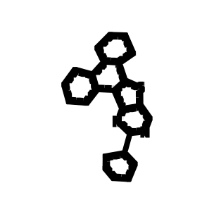 c1ccc(-c2ncc3sc4c5ccccc5c5ccccc5c4c3n2)cc1